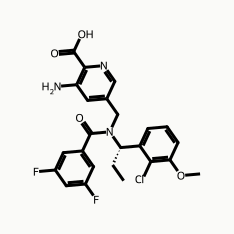 CC[C@@H](c1cccc(OC)c1Cl)N(Cc1cnc(C(=O)O)c(N)c1)C(=O)c1cc(F)cc(F)c1